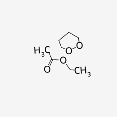 C1CCOOC1.CCOC(C)=O